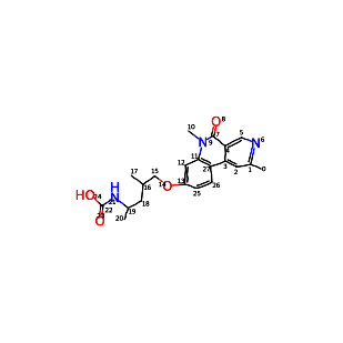 Cc1cc2c(cn1)c(=O)n(C)c1cc(OCC(C)CC(C)NC(=O)O)ccc21